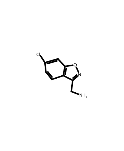 NCc1noc2cc(Cl)ccc12